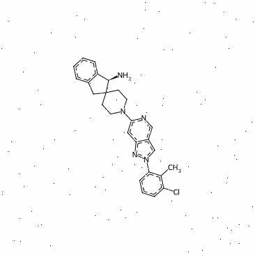 Cc1c(Cl)cccc1-n1cc2cnc(N3CCC4(CC3)Cc3ccccc3[C@H]4N)cc2n1